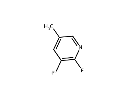 Cc1cnc(F)c(C(C)C)c1